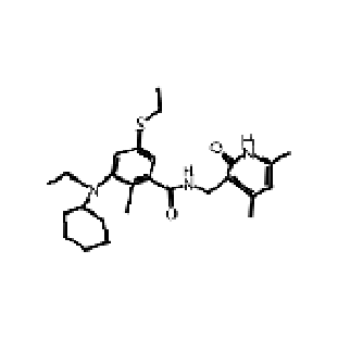 CCSc1cc(C(=O)NCc2c(C)cc(C)[nH]c2=O)c(C)c(N(CC)C2CCCCC2)c1